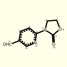 O=Cc1ccc(N2CCOC2=O)nc1